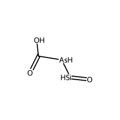 O=[SiH][AsH]C(=O)O